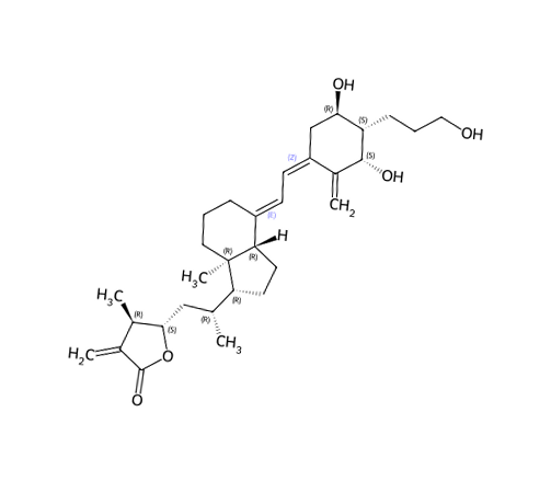 C=C1C(=O)O[C@@H](C[C@@H](C)[C@H]2CC[C@H]3/C(=C/C=C4/C[C@@H](O)[C@H](CCCO)[C@H](O)C4=C)CCC[C@]23C)[C@@H]1C